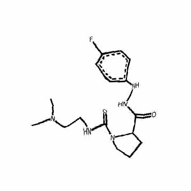 CN(C)CCNC(=O)N1CCCC1C(=O)NNc1ccc(F)cc1